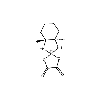 O=C1O[PH]2(N[C@@H]3CCCC[C@H]3N2)OC1=O